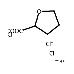 O=C([O-])C1CCCO1.[Cl-].[Cl-].[Cl-].[Ti+4]